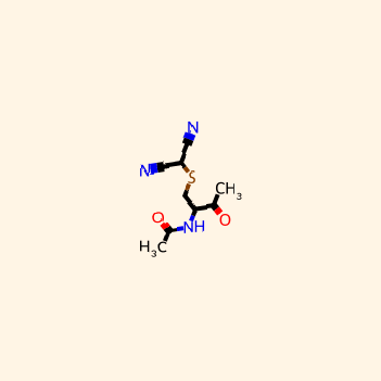 CC(=O)NC(CSC(C#N)C#N)C(C)=O